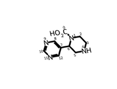 O=C(O)N1CCNCC1c1cncnc1